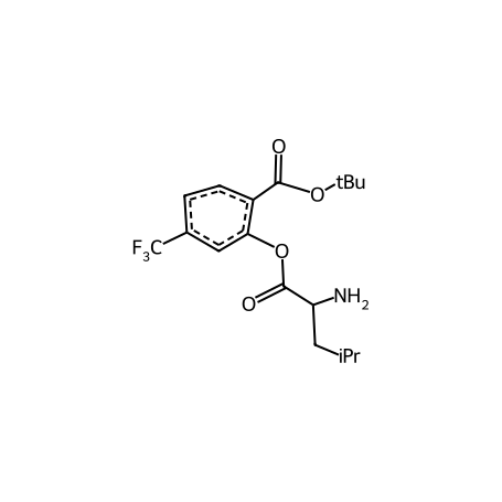 CC(C)CC(N)C(=O)Oc1cc(C(F)(F)F)ccc1C(=O)OC(C)(C)C